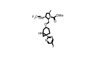 COC(=O)N1[C@H](C)C[C@H](NCC(F)(F)F)[C@@H]1CO[C@@H]1CC[C@]2(c3ncc(F)cn3)C[C@@H]2C1